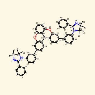 CC1(C)N=C(c2ccccc2)N(c2cccc(-c3ccc4c(c3)Oc3cccc5c3B4c3ccc(-c4cccc(N6C(c7ccccc7)=NC(C)(C)C6(C)C)c4)cc3O5)c2)C1(C)C